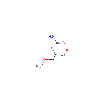 NC(=O)OC(CO)COC(=O)O